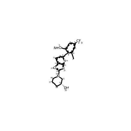 COc1cc(C(F)(F)F)cc(C)c1-c1ccc2oc(N3CCC[C@@H](O)C3)nc2n1